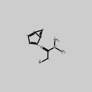 NN(N)C(=O)CBr.c1cc2cc-2c1